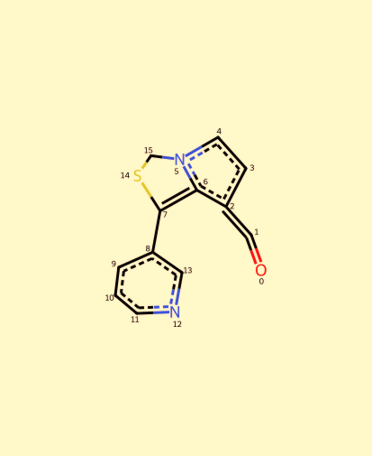 O=C=c1ccn2c1=C(c1cccnc1)SC2